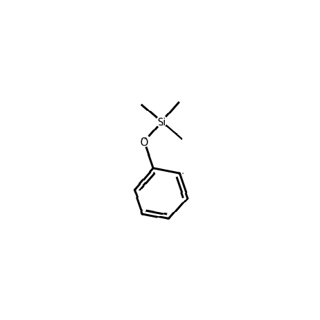 C[Si](C)(C)Oc1[c]cccc1